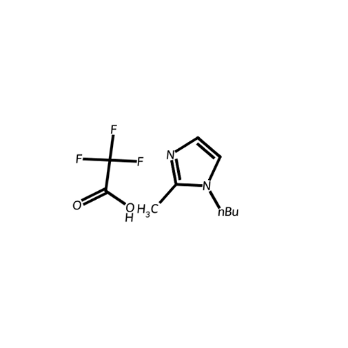 CCCCn1ccnc1C.O=C(O)C(F)(F)F